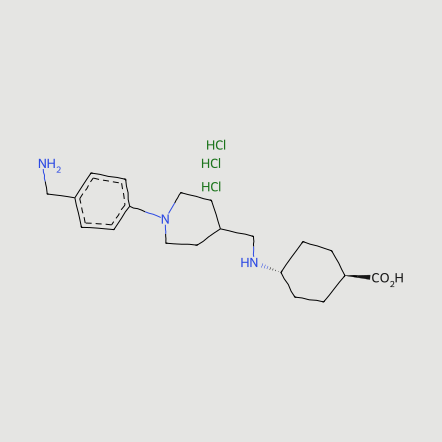 Cl.Cl.Cl.NCc1ccc(N2CCC(CN[C@H]3CC[C@H](C(=O)O)CC3)CC2)cc1